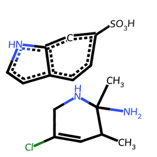 CC1C=C(Cl)CNC1(C)N.O=S(=O)(O)c1ccc2cc[nH]c2c1